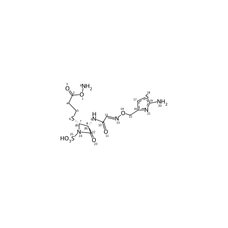 NOC(=O)CCS[C@@H]1[C@H](NC(=O)C=NOCc2csc(N)n2)C(=O)N1S(=O)(=O)O